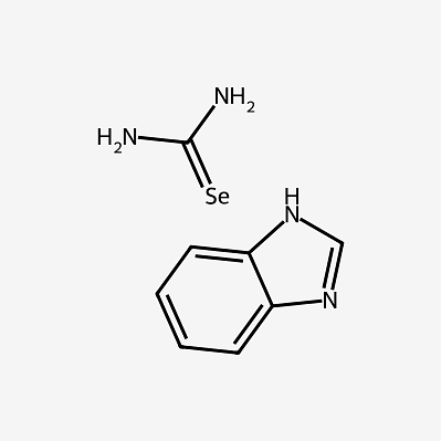 NC(N)=[Se].c1ccc2[nH]cnc2c1